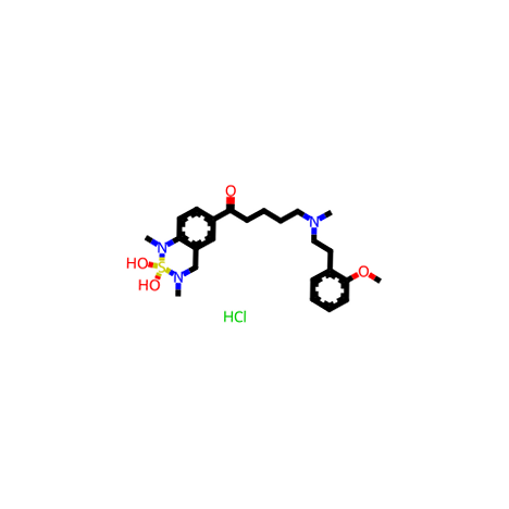 COc1ccccc1CCN(C)CCCCC(=O)c1ccc2c(c1)CN(C)S(O)(O)N2C.Cl